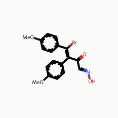 COc1ccc(C(Br)=C(C(=O)C=NO)c2ccc(OC)cc2)cc1